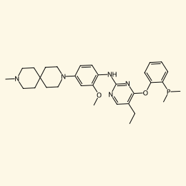 CCc1cnc(Nc2ccc(N3CCC4(CCN(C)CC4)CC3)cc2OC)nc1Oc1ccccc1P(C)C